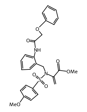 C=C(C(=O)OC)N(Cc1ccccc1NC(=O)COc1ccccc1)S(=O)(=O)c1ccc(OC)cc1